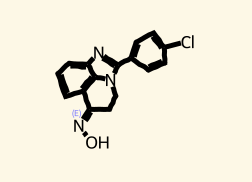 O/N=C1\CCn2c(-c3ccc(Cl)cc3)nc3cccc1c32